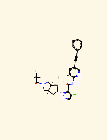 Cc1cc(C#Cc2ccccc2)cnc1NC(=O)c1c(Cl)cnn1[C@H]1C[C@@H]2CN(C(=O)C(C)(C)C)C[C@@H]2C1